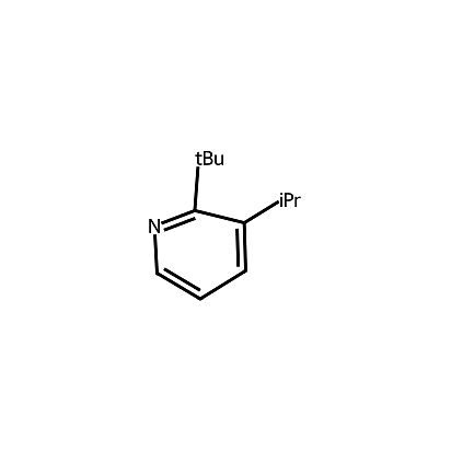 CC(C)c1cccnc1C(C)(C)C